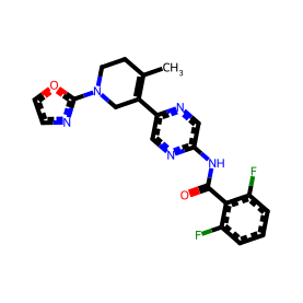 CC1=C(c2cnc(NC(=O)c3c(F)cccc3F)cn2)CN(c2ncco2)CC1